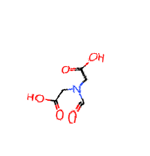 O=CN(CC(=O)O)CC(=O)O